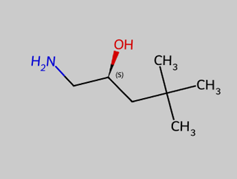 CC(C)(C)C[C@H](O)CN